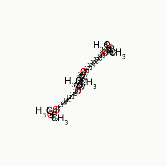 CCC1(COCCCCCCCCCCCCOc2ccc(C(C)(C)c3ccc(OCCCCCCCCCCCCOCC4(CC)OC4C)cc3)cc2)OC1C